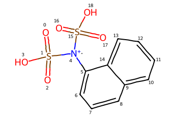 O=S(=O)(O)[N+](c1cccc2ccccc12)S(=O)(=O)O